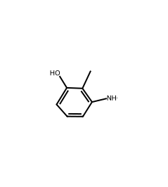 Cc1c([NH])cccc1O